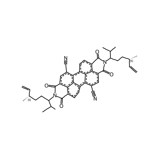 C=C[C@@H](C)CCC(C(C)C)N1C(=O)c2ccc3c4c(C#N)cc5c6c(ccc(c7c(C#N)cc(c2c37)C1=O)c64)C(=O)N(C(CC[C@H](C)C=C)C(C)C)C5=O